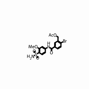 COc1cc(NC(=O)c2ccc(Br)c(COC(C)=O)c2)ccc1S(N)(=O)=O